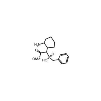 COC(=O)C(C1CCCCC1N)P(=O)(O)Cc1ccccc1